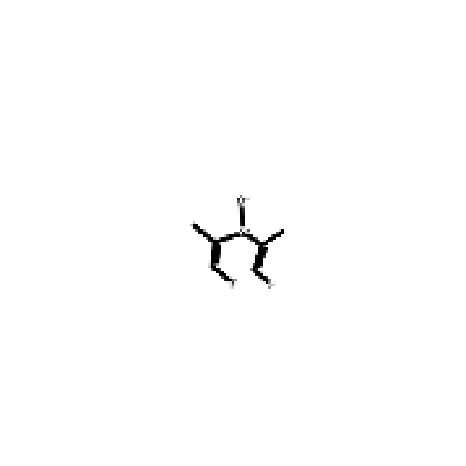 CC(=CF)[S+]([O-])C(C)=CF